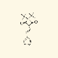 CC(C)(C)C1(C(C)(C)C)C(=O)C(C=Cc2ccccc2)C1=O